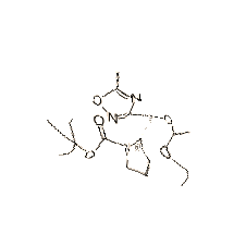 CCOC(C)OC(c1noc(C)n1)[C@@H]1CCCN1C(=O)OC(C)(C)C